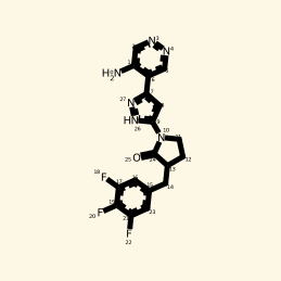 Nc1cnncc1-c1cc(N2CCC(Cc3cc(F)c(F)c(F)c3)C2=O)[nH]n1